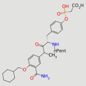 CCCCCN[C@@H](Cc1ccc(OP(=O)(O)CC(=O)O)cc1)C(=O)C(C)c1ccc(OCC2CCCCC2)c(C(N)=O)c1